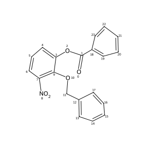 O=C(Oc1cccc([N+](=O)[O-])c1OCc1ccccc1)c1ccccc1